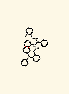 Cc1ccccc1CN[C@H](c1ccccc1)[C@H](NCc1ccccc1P(c1ccccc1)c1ccccc1)c1ccccc1